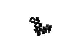 CC1(C)C(=O)N(c2nc(C(F)(F)F)cs2)C(=O)N1Cc1ccnc2ccccc12